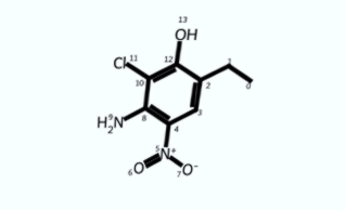 CCc1cc([N+](=O)[O-])c(N)c(Cl)c1O